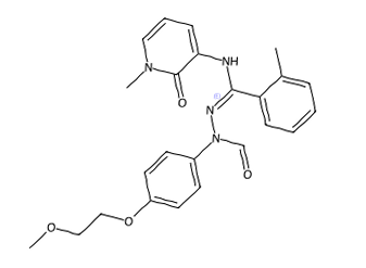 COCCOc1ccc(N(C=O)/N=C(/Nc2cccn(C)c2=O)c2ccccc2C)cc1